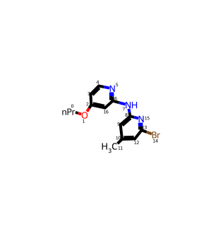 CCCOc1ccnc(Nc2cc(C)cc(Br)n2)c1